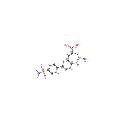 CN(C)S(=O)(=O)c1ccc(-c2ccc3c(c2)C=C(C(=O)O)CC(N)=N3)cc1